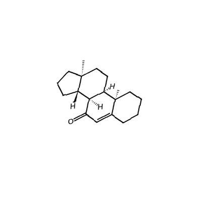 C[C@@]12CCC[C@H]1[C@@H]1C(=O)C=C3CCCC[C@]3(C)[C@@H]1CC2